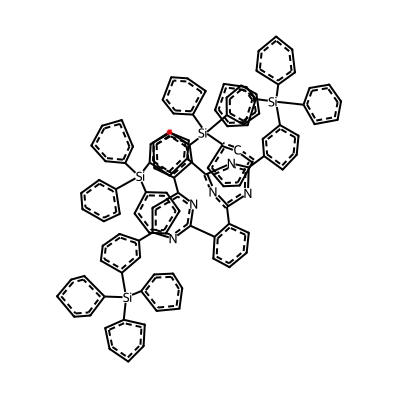 c1ccc([Si](c2ccccc2)(c2ccccc2)c2cccc(-c3cc(-c4cccc([Si](c5ccccc5)(c5ccccc5)c5ccccc5)c4)nc(-c4ccccc4-c4nc(-c5cccc([Si](c6ccccc6)(c6ccccc6)c6ccccc6)c5)nc(-c5cccc([Si](c6ccccc6)(c6ccccc6)c6ccccc6)c5)n4)n3)c2)cc1